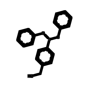 OCc1ccc(B(Oc2ccccc2)Oc2ccccc2)cc1